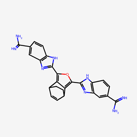 N=C(N)c1ccc2[nH]c(-c3oc(-c4nc5cc(C(=N)N)ccc5[nH]4)c4c3C3C=CC4CC3)nc2c1